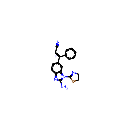 N#C/C=C(\c1ccccc1)c1ccc2nc(N)n(C3=NCCS3)c2c1